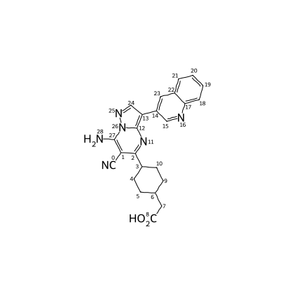 N#Cc1c(C2CCC(CC(=O)O)CC2)nc2c(-c3cnc4ccccc4c3)cnn2c1N